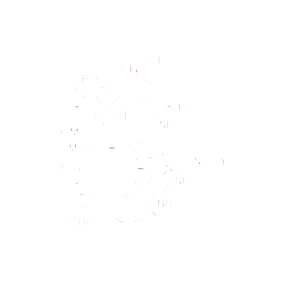 CO[C@H]1/C=C/O[C@@]2(C)Oc3c(C)c(O)c4c(c3C2=O)C2=NC3(CCN(CC(C)C)CC3)NC2=C(NC(=O)/C(C)=C\C=C\[C@H](C)[C@H](O)[C@@H](C)[C@@H](O)[C@@H](C)[C@H](OC(C)=O)[C@@H]1C)C4=O.COc1cccc2c1C(=O)c1c(O)c3c(c(O)c1C2=O)C[C@@](O)(C(=O)CO)C[C@@H]3O[C@H]1C[C@H](N)[C@H](O)[C@H](C)O1